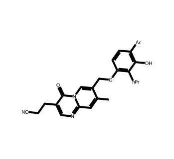 CCCc1c(OCc2cn3c(=O)c(CCC#N)cnc3cc2C)ccc(C(C)=O)c1O